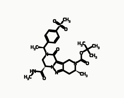 CNC(=O)[C@@H]1CN([C@@H](C)c2ccc(S(C)(=O)=O)cc2)C(=O)c2c3c(nn21)C[C@@H](C)N(C(=O)OC(C)(C)C)C3